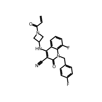 C=CC(=O)N1CC(Nc2c(C#N)c(=O)n(Cc3ccc(F)cc3)c3c(F)cccc23)C1